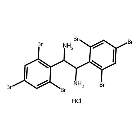 Cl.NC(c1c(Br)cc(Br)cc1Br)C(N)c1c(Br)cc(Br)cc1Br